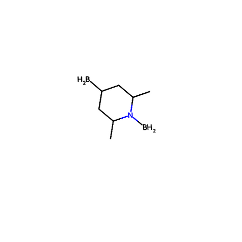 BC1CC(C)N(B)C(C)C1